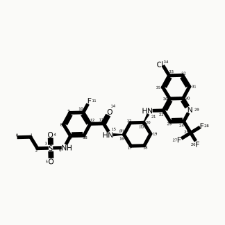 CCCS(=O)(=O)Nc1ccc(F)c(C(=O)N[C@@H]2CCC[C@H](Nc3cc(C(F)(F)F)nc4ccc(Cl)cc34)C2)c1